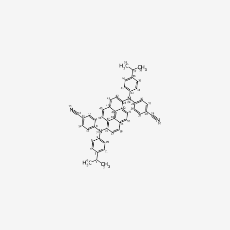 CC(C)c1ccc(N(c2ccc(C#N)cc2)c2ccc3ccc4c(N(c5ccc(C#N)cc5)c5ccc(C(C)C)cc5)ccc5ccc2c3c54)cc1